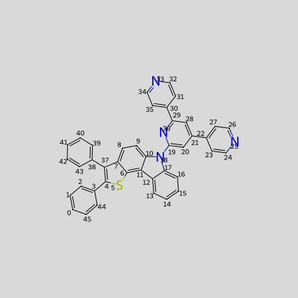 c1ccc(-c2sc3c(ccc4c3c3ccccc3n4-c3cc(-c4ccncc4)cc(-c4ccncc4)n3)c2-c2ccccc2)cc1